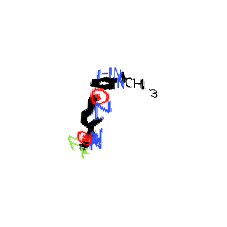 Cc1c[nH]c(-c2cccc(OCc3ccc(-c4nnc(C(F)F)o4)cn3)c2)n1